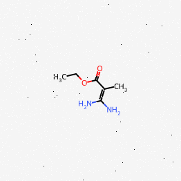 CCOC(=O)C(C)=C(N)N